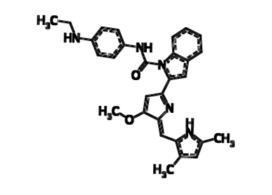 CCNc1ccc(NC(=O)n2c(C3=N/C(=C\c4[nH]c(C)cc4C)C(OC)=C3)cc3ccccc32)cc1